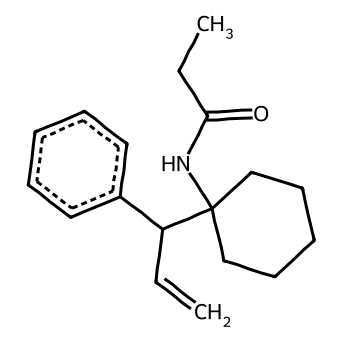 C=CC(c1ccccc1)C1(NC(=O)CC)CCCCC1